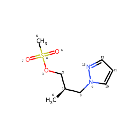 C[C@@H](COS(C)(=O)=O)Cn1cccn1